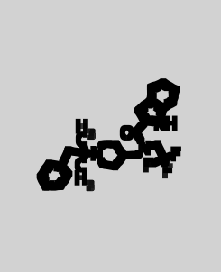 CC(C)(Cc1ccccc1)N1CCC(CN(CC(F)(F)F)C(=O)c2cc3ccccc3[nH]2)CC1